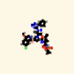 C=C[C@@H]1C[C@]1(NC(=O)[C@@H]1C[C@@H](Oc2ncc(OC)c3ccc(Cl)cc23)CN1C(=C)C(C)Nc1nnnn1-c1ccccc1)C(=O)NS(=O)(=O)C1CC1